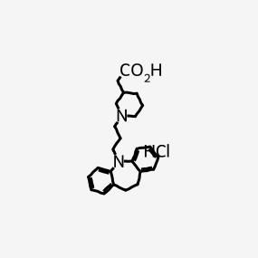 Cl.O=C(O)CC1CCCN(CCCN2c3ccccc3CCc3ccccc32)C1